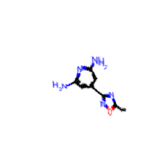 Cc1nc(-c2cc(N)nc(N)c2)no1